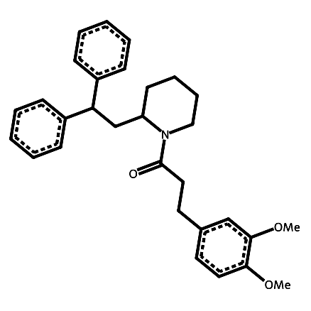 COc1ccc(CCC(=O)N2CCCCC2CC(c2ccccc2)c2ccccc2)cc1OC